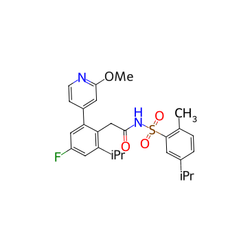 COc1cc(-c2cc(F)cc(C(C)C)c2CC(=O)NS(=O)(=O)c2cc(C(C)C)ccc2C)ccn1